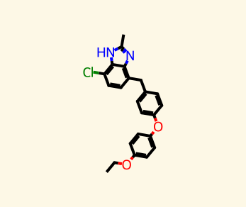 CCOc1ccc(Oc2ccc(Cc3ccc(Cl)c4[nH]c(C)nc34)cc2)cc1